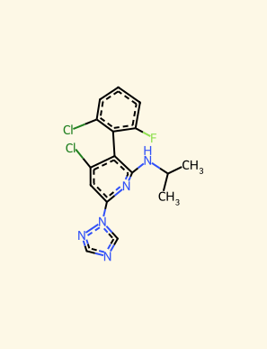 CC(C)Nc1nc(-n2cncn2)cc(Cl)c1-c1c(F)cccc1Cl